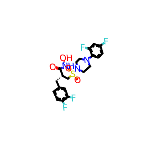 O=C(NO)[C@@H](Cc1ccc(F)c(F)c1)CS(=O)(=O)N1CCN(c2ccc(F)cc2F)CC1